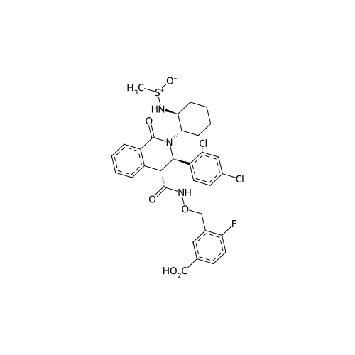 C[S+]([O-])N[C@H]1CCCC[C@@H]1N1C(=O)c2ccccc2[C@@H](C(=O)NOCc2cc(C(=O)O)ccc2F)[C@@H]1c1ccc(Cl)cc1Cl